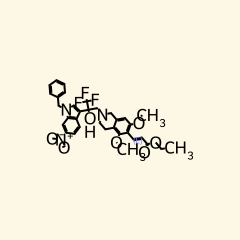 CCOC(=O)/C=C/c1c(OC)cc2c(c1OC)CCN(CC(O)(c1cn(Cc3ccccc3)c3cc([N+](=O)[O-])ccc13)C(F)(F)F)C2